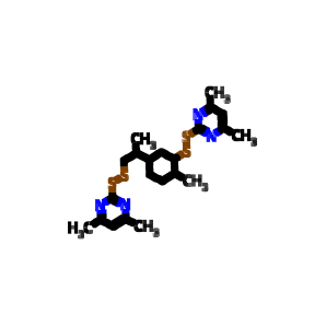 Cc1cc(C)nc(SSCC(C)C2CCC(C)C(SSc3nc(C)cc(C)n3)C2)n1